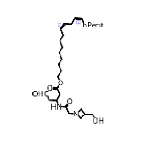 CCCCC/C=C\C/C=C\CCCCCCCCOC(=O)CC(CC=O)NC(=O)CN1CC(CO)C1